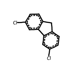 Clc1ccc2c(c1)-c1cc(Cl)ccc1C2